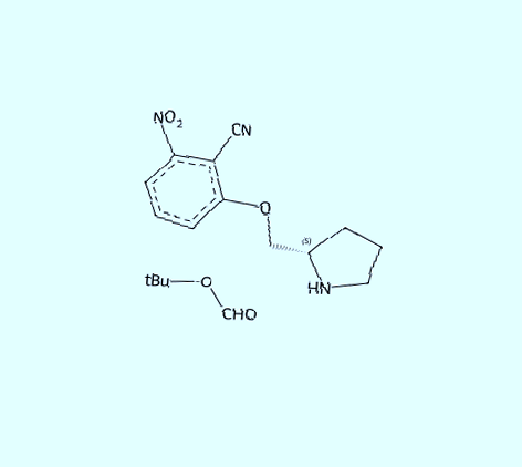 CC(C)(C)OC=O.N#Cc1c(OC[C@@H]2CCCN2)cccc1[N+](=O)[O-]